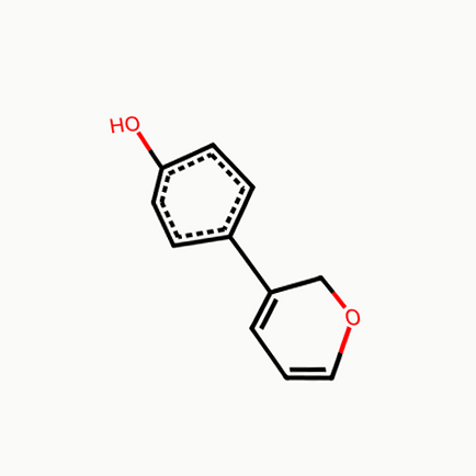 Oc1ccc(C2=CC=COC2)cc1